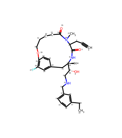 C#CCC1C(=O)N[C@H]([C@H](O)CNCc2cccc(CC)c2)Cc2ccc(c(F)c2)OCCCCC(=O)N1C